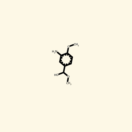 COc1ccc(C(O)OC)cc1N